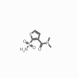 CN(C)C(=O)c1ccsc1S(N)(=O)=O